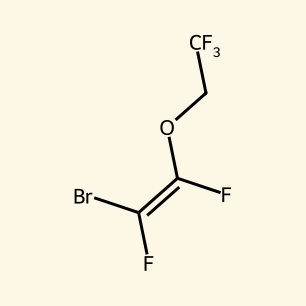 FC(Br)=C(F)OCC(F)(F)F